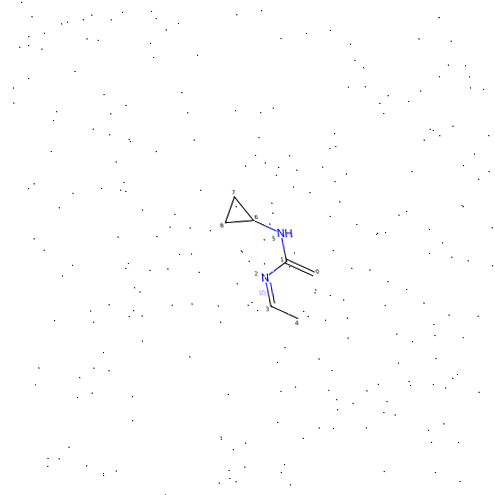 C=C(/N=C\C)NC1CC1